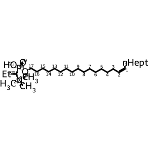 CCCCCCC/C=C\CCCCCCCCCCCCCCCOP(=O)(O)C(CC)[N+](C)(C)C